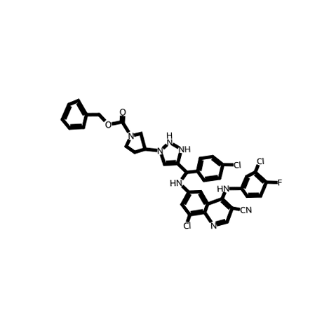 N#Cc1cnc2c(Cl)cc(NC(C3=CN(C4CCN(C(=O)OCc5ccccc5)C4)NN3)c3ccc(Cl)cc3)cc2c1Nc1ccc(F)c(Cl)c1